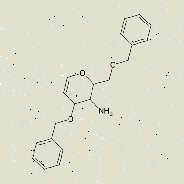 NC1C(OCc2ccccc2)C=COC1COCc1ccccc1